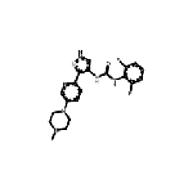 CN1CCN(c2ccc(-c3n[nH]cc3NC(=O)Nc3c(F)cccc3F)nc2)CC1